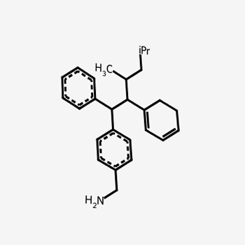 CC(C)CC(C)C(C1=CC=CCC1)C(c1ccccc1)c1ccc(CN)cc1